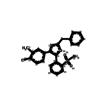 Cc1cc(-c2nc(Cc3ccccc3)oc2-c2ccccc2S(N)(=O)=O)ccc1Cl